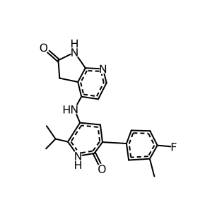 Cc1cc(-c2cc(Nc3ccnc4c3CC(=O)N4)c(C(C)C)[nH]c2=O)ccc1F